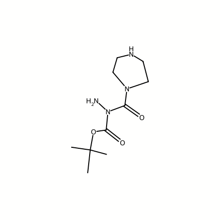 CC(C)(C)OC(=O)N(N)C(=O)N1CCNCC1